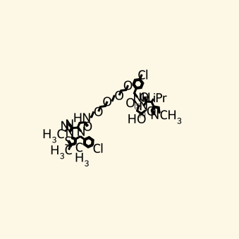 Cc1cc(C(C(=O)N2C[C@H](O)C[C@H]2C(=O)NCc2ccc(Cl)cc2OCCOCCOCCOCCNC(=O)CC2N=C(c3ccc(Cl)cc3)c3c(sc(C)c3C)-n3c(C)nnc32)C(C)C)on1